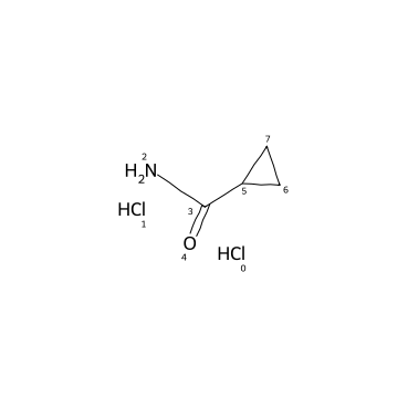 Cl.Cl.NC(=O)C1CC1